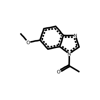 COc1ccc2ncn(C(C)=O)c2c1